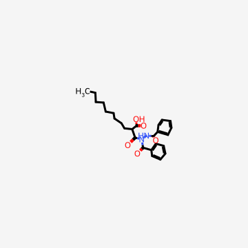 CCCCCCCCCC(C(=O)O)C(=O)N(NC(=O)c1ccccc1)C(=O)c1ccccc1